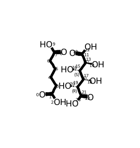 O=C(O)CCCCC(=O)O.O=C(O)[C@@H](O)[C@@H](O)[C@H](O)[C@@H](O)C(=O)O